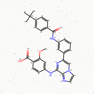 COc1cc(Nc2nc(-c3cccc(NC(=O)c4ccc(C(C)(C)C)cc4)c3)cn3ccnc23)ccc1C(=O)O